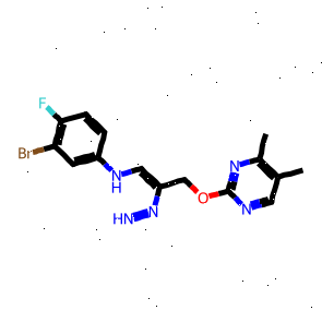 Cc1cnc(OC/C(=C/Nc2ccc(F)c(Br)c2)N=N)nc1C